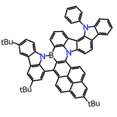 CC(C)(C)c1cc2ccc3c4c5c(c6ccc(c1)c2c36)-n1c2ccc3c6ccccc6n(-c6ccccc6)c3c2c2cccc(c21)B5n1c2ccc(C(C)(C)C)cc2c2cc(C(C)(C)C)cc-4c21